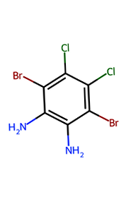 Nc1c(N)c(Br)c(Cl)c(Cl)c1Br